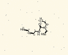 C/C=N\N(C=N)C(=O)NC/C=N\C=N